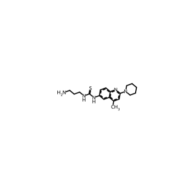 Cc1cc(N2CCCCC2)nc2ccc(NC(=S)NCCCN)cc12